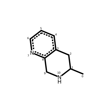 CC1Cc2cccnc2CN1